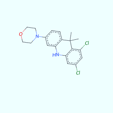 CC1(C)c2ccc(N3CCOCC3)cc2Nc2cc(Cl)cc(Cl)c21